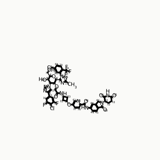 Cc1nc([C@@H]2O[C@H](CO)[C@H](O)[C@H](n3cc(-c4cc(F)c(Cl)c(F)c4)nn3)[C@H]2OCC(=O)N[C@H]2C[C@@H](Oc3ccc(C(=O)Nc4ccc5c(c4)CN([C@H]4CCC(=O)NC4=O)C5=O)nc3)C2)n(-c2cc(Cl)ccc2C(F)(F)F)n1